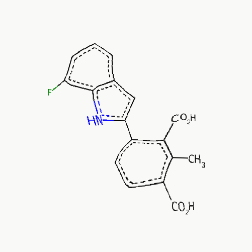 Cc1c(C(=O)O)ccc(-c2cc3cccc(F)c3[nH]2)c1C(=O)O